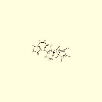 CC1=C(C)[C](C)([Hf]([CH3])([CH3])[C]2=C(CC(C)C)c3c(ccc4c3CCC4)C2)C(C)=C1C